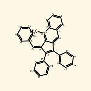 C[n+]1c2c(cc3ccccc31)C(c1ccccc1)=C(c1ccccc1)C2=Cc1ccccc1